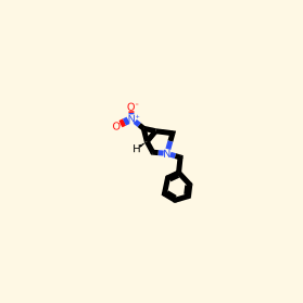 O=[N+]([O-])C1C2CN(Cc3ccccc3)C[C@H]21